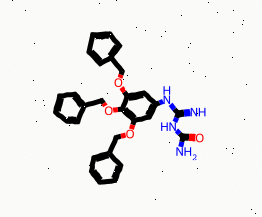 N=C(NC(N)=O)Nc1cc(OCc2ccccc2)c(OCc2ccccc2)c(OCc2ccccc2)c1